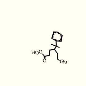 CC(C)(C)CCC(CCC(=O)OO)C(C)(C)c1ccccc1